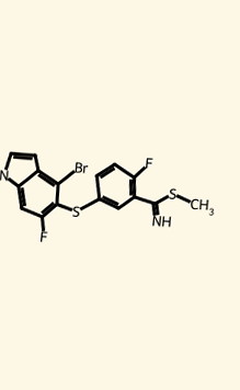 CSC(=N)c1cc(Sc2c(F)cc3[nH]ccc3c2Br)ccc1F